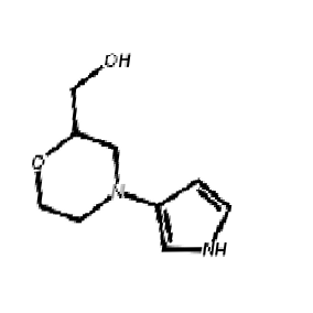 OCC1CN(c2cc[nH]c2)CCO1